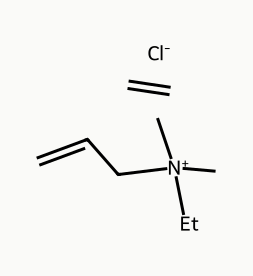 C=C.C=CC[N+](C)(C)CC.[Cl-]